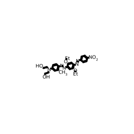 CCOc1cc(N=Nc2ccc(N(CCO)CCO)cc2C)c(OCC)cc1N=Nc1ccc([N+](=O)[O-])cc1